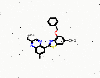 COCc1cnc2c(-c3nc4c(OCc5ccccc5)cc(C=O)cc4s3)cc(C)cc2n1